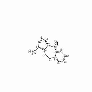 Cc1cccc2c1CCc1ccccc1C2Cl